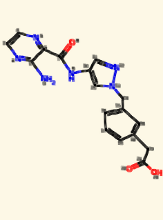 Nc1nccnc1C(=O)Nc1cnn(Cc2cccc(CC(=O)O)c2)c1